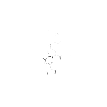 COP1(=O)OCC2OC3C(Nc4c(nc(N(C(=O)OC(C)(C)C)C(=O)OC(C)(C)C)[nH]c4=O)N3C(=O)OC(C)(C)C)C(O)(O)C2O1